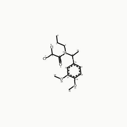 CCCN(C(=O)C(Cl)Cl)C(C)c1ccc(OC)c(OC)c1